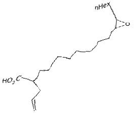 C=CCC(CCCCCCCCC1OC1CCCCCC)C(=O)O